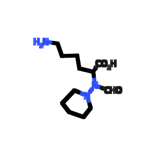 NCCCC[C@@H](C(=O)O)N(C=O)N1CCCCC1